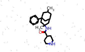 CC1CC2CC(C)(NC(=O)C3CCNCC3)CC(c3ccccc3)(C1)C2